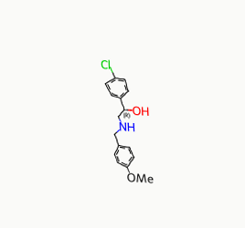 COc1ccc(CNC[C@H](O)c2ccc(Cl)cc2)cc1